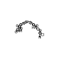 N#Cc1ccc(OC2CCC(NC(=O)c3ccc(N4CCC(CN5CC6CN(c7ccc8c(c7)C(=O)N(C7CCC(=O)NC7=O)C8=O)CC6C5)CC4)cc3)CC2)cc1Cl